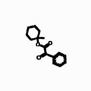 CC1(OC(=O)C(=O)c2ccccc2)CCCCC1